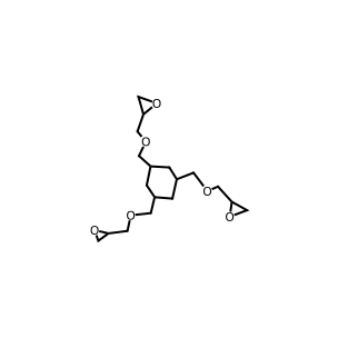 C(OCC1CO1)C1CC(COCC2CO2)CC(COCC2CO2)C1